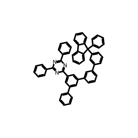 c1ccc(-c2cc(-c3cccc(-c4cccc(C5(c6ccccc6)c6ccccc6-c6ccccc65)c4)c3)cc(-c3nc(-c4ccccc4)nc(-c4ccccc4)n3)c2)cc1